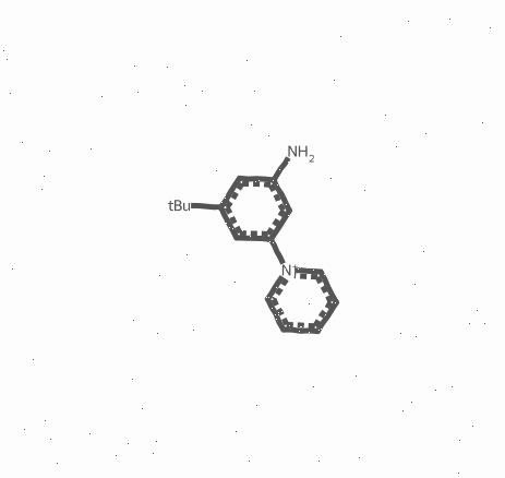 CC(C)(C)c1cc(N)cc(-[n+]2ccccc2)c1